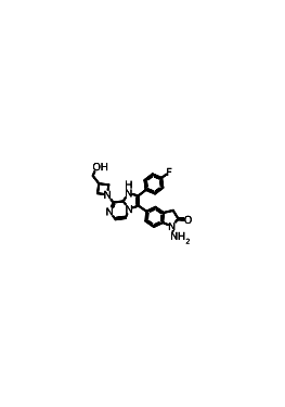 NN1C(=O)Cc2cc(C3=C(c4ccc(F)cc4)NC4C(N5CC(CO)C5)=NC=CN34)ccc21